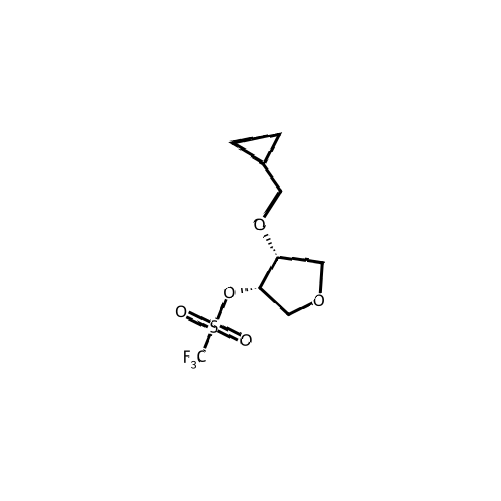 O=S(=O)(O[C@H]1COC[C@H]1OCC1CC1)C(F)(F)F